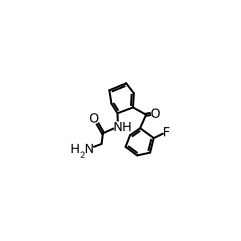 NCC(=O)Nc1ccccc1C(=O)c1ccccc1F